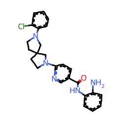 Nc1ccccc1NC(=O)c1ccc(N2CCC3(CCN(c4ccccc4Cl)C3)C2)nc1